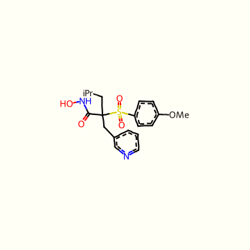 COc1ccc(S(=O)(=O)C(Cc2cccnc2)(CC(C)C)C(=O)NO)cc1